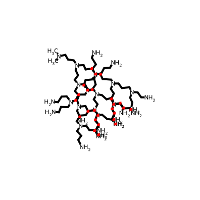 CN(C)CCCN(CCCN(CCCN(CCCN(CCN)CCN)CCCN(CCN)CCN)CCCN(CCCN(CCCN)CCCN)CCCN(CCCN)CCCN)CCCN(CCCN(CCCN(CCCN)CCCN)CCCN(CCCN)CCCN)CCCN(CCCN(CCCN)CCCN)CCN(CCCN)CCCN